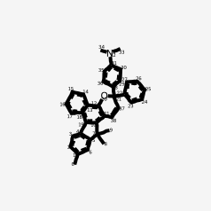 Cc1ccc2c(c1)C(C)(C)c1c3c(c4ccccc4c1-2)OC(c1ccccc1)(c1ccc(N(C)C)cc1)C=C3